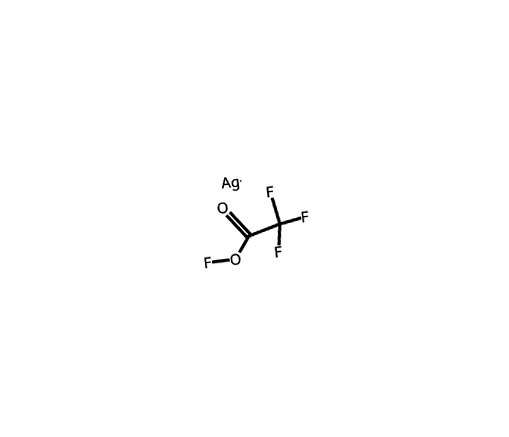 O=C(OF)C(F)(F)F.[Ag]